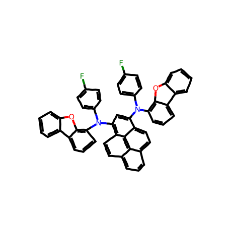 Fc1ccc(N(c2cc(N(c3ccc(F)cc3)c3cccc4c3oc3ccccc34)c3ccc4cccc5ccc2c3c54)c2cccc3c2oc2ccccc23)cc1